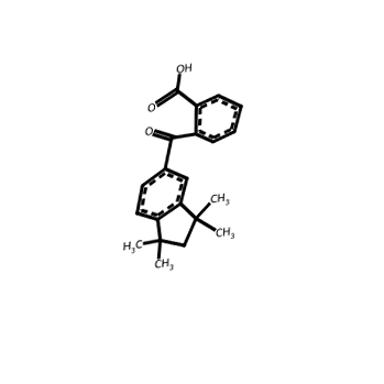 CC1(C)CC(C)(C)c2cc(C(=O)c3ccccc3C(=O)O)ccc21